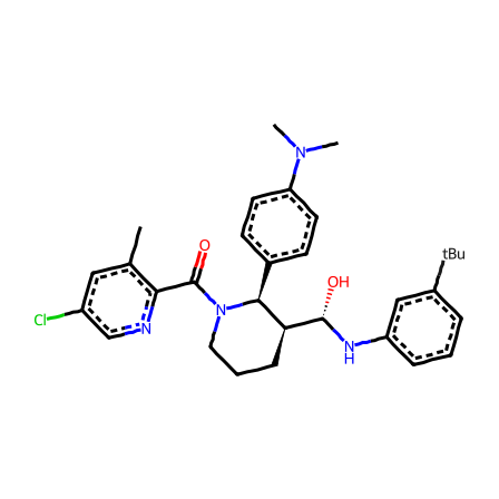 Cc1cc(Cl)cnc1C(=O)N1CCC[C@H]([C@H](O)Nc2cccc(C(C)(C)C)c2)[C@@H]1c1ccc(N(C)C)cc1